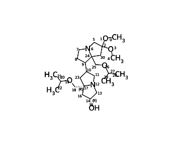 COC1(OC)CN2CCC(C3CN4C[C@H](O)C[C@@]4(COC(C)C)C3)C2(COC(C)C)C1